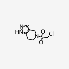 O=S(=O)(CCl)N1CCc2[nH]n[c]c2C1